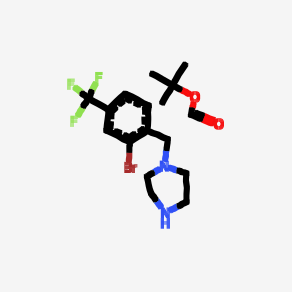 CC(C)(C)OC=O.FC(F)(F)c1ccc(CN2CCNCC2)c(Br)c1